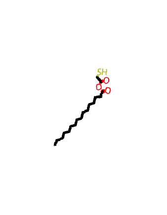 CCCCCCCCCCCCCCCC(=O)OC(=O)CS